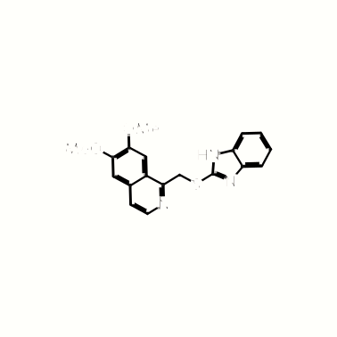 COc1cc2ccnc(CSc3nc4ccccc4[nH]3)c2cc1OC